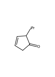 CC(C)C1C=CCC1=O